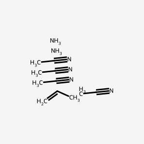 C=CC.CC#N.CC#N.CC#N.CC#N.N.N